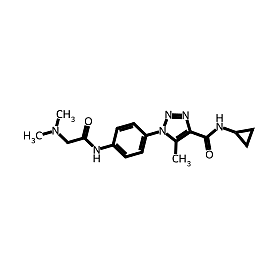 Cc1c(C(=O)NC2CC2)nnn1-c1ccc(NC(=O)CN(C)C)cc1